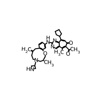 C=C1CCN(C2CNC2)C[C@H](C)COc2cc(Nc3ncc4c(C)c(C(C)=O)c(=O)cc(C5CCCC5)c4n3)ccc2C1